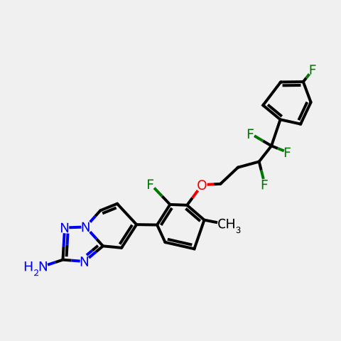 Cc1ccc(-c2ccn3nc(N)nc3c2)c(F)c1OCCC(F)C(F)(F)c1ccc(F)cc1